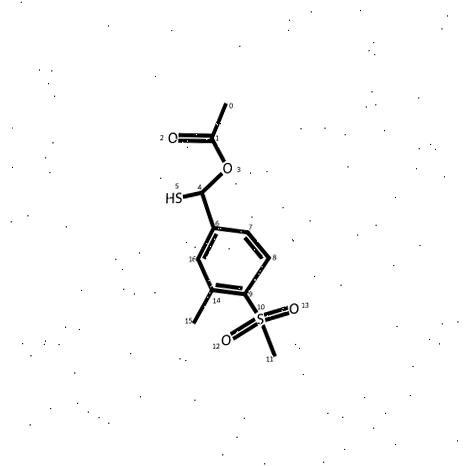 CC(=O)OC(S)c1ccc(S(C)(=O)=O)c(C)c1